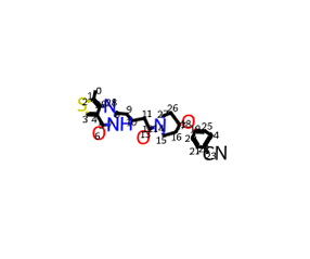 Cc1scc2c(=O)[nH]c(CCCC(=O)N3CCC(Oc4ccc(C#N)cc4)CC3)nc12